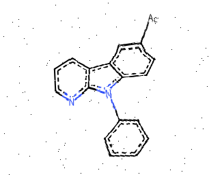 CC(=O)c1ccc2c(c1)c1cccnc1n2-c1ccccc1